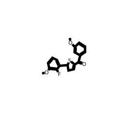 COc1cccc(C(=O)C2=CCC(c3cccc(OC)c3F)S2)c1